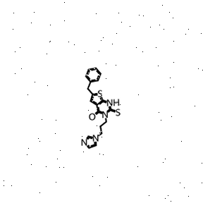 O=c1c2cc(Cc3ccccc3)sc2[nH]c(=S)n1CCCn1ccnc1